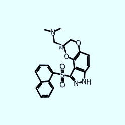 CN(C)C[C@H]1COc2ccc3[nH]nc(S(=O)(=O)c4cccc5ccccc45)c3c2O1